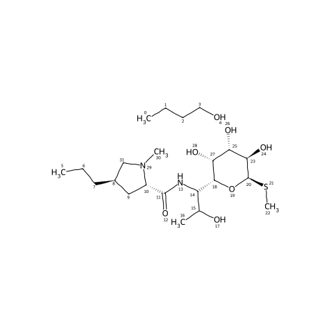 CCCCO.CCC[C@@H]1C[C@@H](C(=O)NC(C(C)O)[C@H]2O[C@H](SC)[C@H](O)[C@@H](O)[C@H]2O)N(C)C1